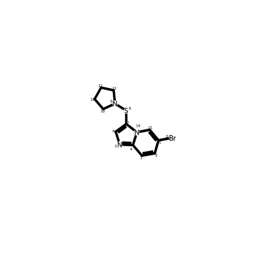 Brc1ccc2ncc(SN3CCCC3)n2c1